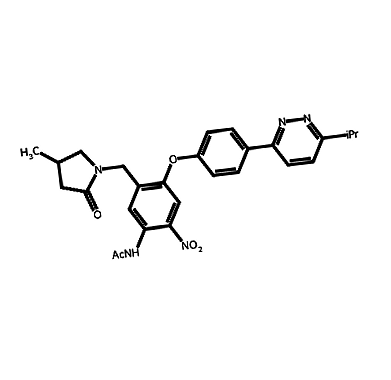 CC(=O)Nc1cc(CN2CC(C)CC2=O)c(Oc2ccc(-c3ccc(C(C)C)nn3)cc2)cc1[N+](=O)[O-]